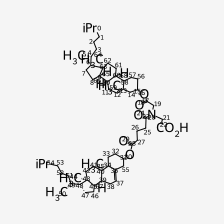 CC(C)CCC[C@@H](C)C1CC[C@H]2[C@@H]3CC=C4C[C@@H](OC(=O)CN(CC(=O)O)C(=O)CCCC(=O)O[C@H]5CC[C@@]6(C)C(=CC[C@@H]7C6CC[C@@]6(C)C7CC[C@@H]6[C@H](C)CCCC(C)C)C5)CC[C@]4(C)[C@H]3CC[C@]12C